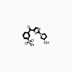 CC(C)S(=O)(=O)c1cccc(C(=O)c2cnc(N3CC[C@H](O)C3)s2)c1